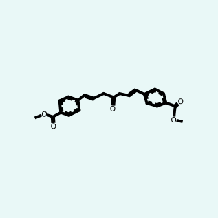 COC(=O)c1ccc(C=CCC(=O)CC=Cc2ccc(C(=O)OC)cc2)cc1